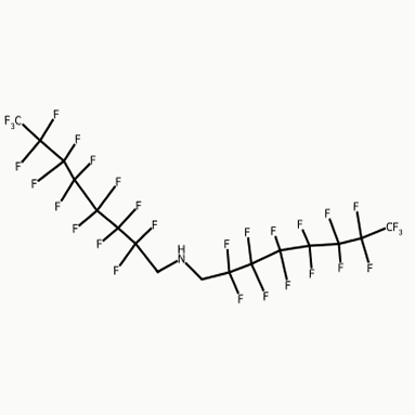 FC(F)(F)C(F)(F)C(F)(F)C(F)(F)C(F)(F)C(F)(F)C(F)(F)CNCC(F)(F)C(F)(F)C(F)(F)C(F)(F)C(F)(F)C(F)(F)C(F)(F)F